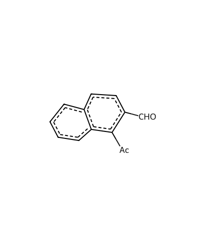 CC(=O)c1c(C=O)ccc2ccccc12